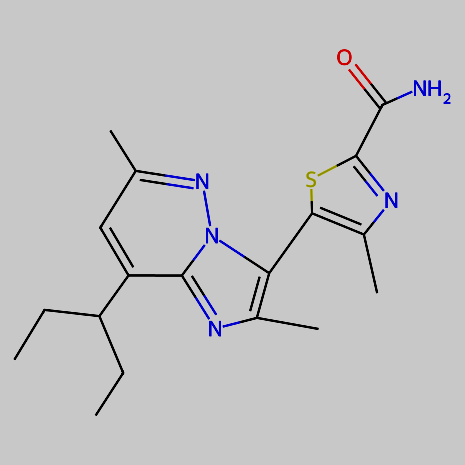 CCC(CC)c1cc(C)nn2c(-c3sc(C(N)=O)nc3C)c(C)nc12